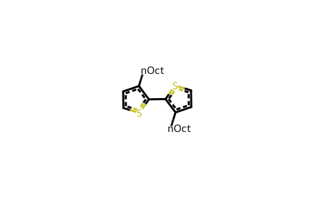 CCCCCCCCc1ccsc1-c1sccc1CCCCCCCC